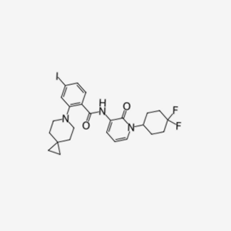 O=C(Nc1cccn(C2CCC(F)(F)CC2)c1=O)c1ccc(I)cc1N1CCC2(CC1)CC2